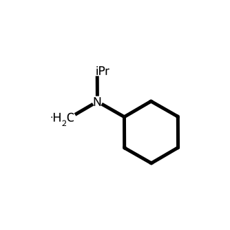 [CH2]N(C(C)C)C1CCCCC1